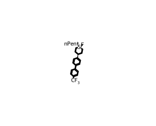 CCCCC[Si@]1(F)CC[C@@H](c2ccc(-c3ccc(C(F)(F)F)cc3)cc2)CC1